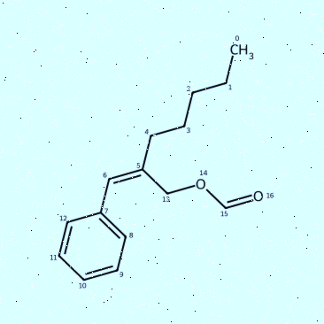 CCCCCC(=Cc1ccccc1)COC=O